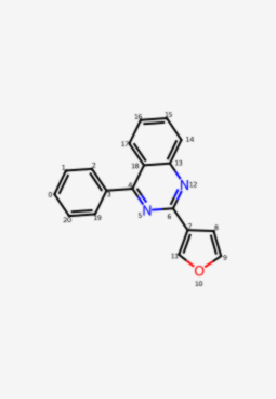 c1ccc(-c2nc(-c3ccoc3)nc3ccccc23)cc1